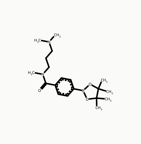 CN(C)CCCN(C)C(=O)c1ccc(B2OC(C)(C)C(C)(C)O2)cc1